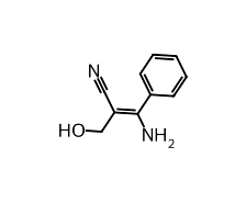 N#C/C(CO)=C(/N)c1ccccc1